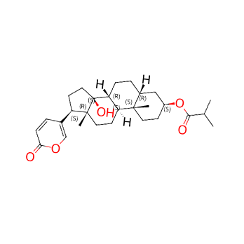 CC(C)C(=O)O[C@H]1CC[C@@]2(C)[C@H](CC[C@@H]3[C@@H]2CC[C@]2(C)[C@@H](c4ccc(=O)oc4)CC[C@]32O)C1